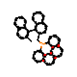 Cc1ccccc1-c1ccccc1P(Cc1ccc2ccccc2c1-c1c(C)ccc2ccccc12)c1ccccc1-c1ccccc1C